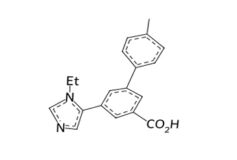 CCn1cncc1-c1cc(C(=O)O)cc(-c2ccc(C)cc2)c1